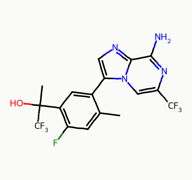 Cc1cc(F)c(C(C)(O)C(F)(F)F)cc1-c1cnc2c(N)nc(C(F)(F)F)cn12